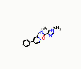 CCCN(Cc1cc(-c2ccccc2)ccn1)C(=O)c1cn(C)cn1